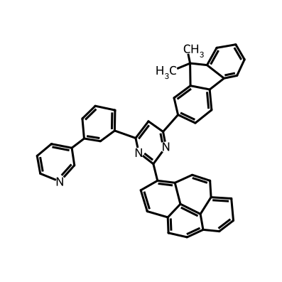 CC1(C)c2ccccc2-c2ccc(-c3cc(-c4cccc(-c5cccnc5)c4)nc(-c4ccc5ccc6cccc7ccc4c5c67)n3)cc21